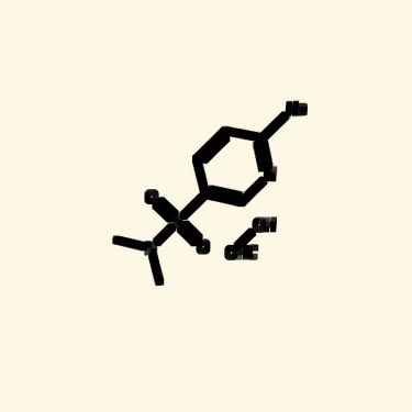 CN(C)S(=O)(=O)c1cc[c]([Na])nc1.O=CO